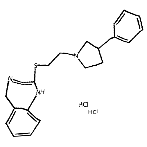 Cl.Cl.c1ccc(C2CCN(CCSC3=NCc4ccccc4N3)C2)cc1